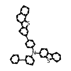 c1ccc(-c2cccc(N(c3ccc(-c4ccc5c(c4)sc4c6ccccc6ccc54)cc3)c3ccc4c(c3)sc3ccccc34)c2)cc1